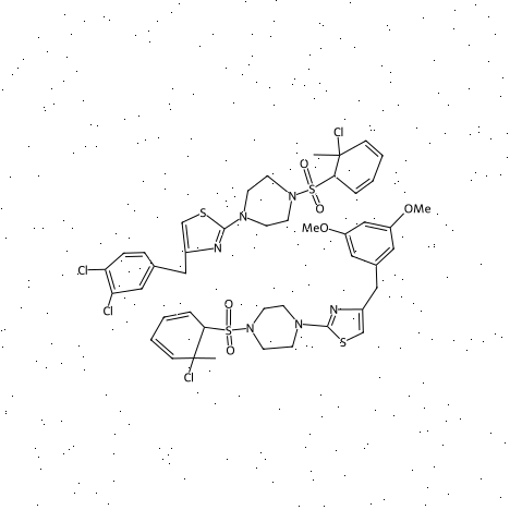 CC1(Cl)C=CC=CC1S(=O)(=O)N1CCN(c2nc(Cc3ccc(Cl)c(Cl)c3)cs2)CC1.COc1cc(Cc2csc(N3CCN(S(=O)(=O)C4C=CC=CC4(C)Cl)CC3)n2)cc(OC)c1